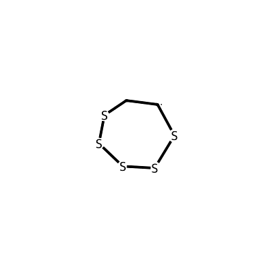 [CH]1CSSSSS1